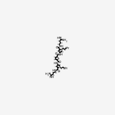 CC(C)CCn1cc(NC(=O)c2ccc(C(=O)Nc3cc(C(=O)NCCCC(=N)N)n(CCC(C)C)c3)s2)cc1C(=O)NCCCC(=N)N